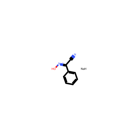 N#C/C(=N/O)c1ccccc1.[NaH]